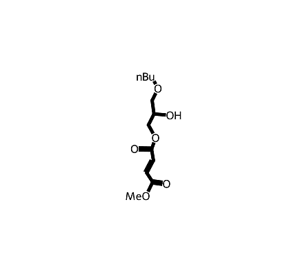 CCCCOCC(O)COC(=O)C=CC(=O)OC